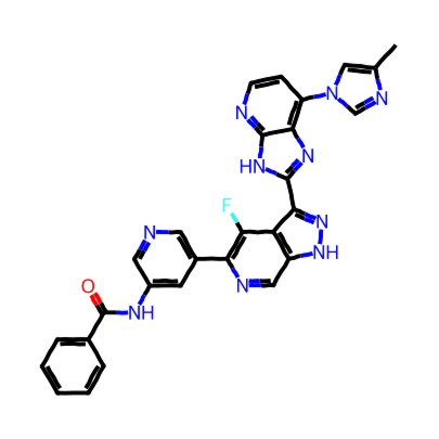 Cc1cn(-c2ccnc3[nH]c(-c4n[nH]c5cnc(-c6cncc(NC(=O)c7ccccc7)c6)c(F)c45)nc23)cn1